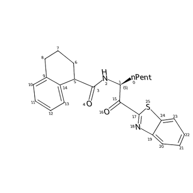 CCCCC[C@H](NC(=O)C1CCCc2ccccc21)C(=O)c1nc2ccccc2s1